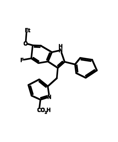 CCOc1cc2[nH]c(-c3ccccc3)c(Cc3cccc(C(=O)O)n3)c2cc1F